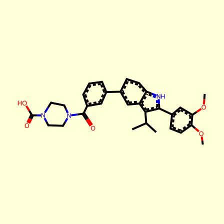 COc1ccc(-c2[nH]c3ccc(-c4cccc(C(=O)N5CCN(C(=O)O)CC5)c4)cc3c2C(C)C)cc1OC